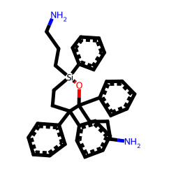 NCCCC1(c2ccccc2)O[Si](CCCN)(c2ccccc2)CCC1(c1ccccc1)c1ccccc1